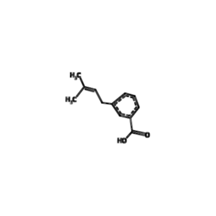 CC(C)=CCc1cccc(C(=O)O)c1